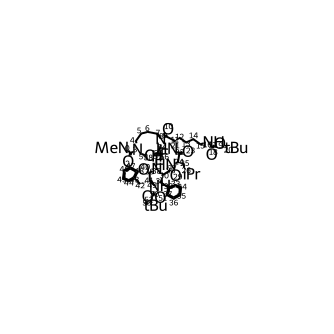 CNC(=O)N1CCCCN(C(=O)[C@@H](CCCCNC(=O)OC(C)(C)C)NC(=O)[C@@H](CC(C)C)NC(=O)[C@@H](Cc2ccccc2)NC(=O)[C@@H](Cc2ccccc2)NC(=O)OC(C)(C)C)CC(F)(F)CC1